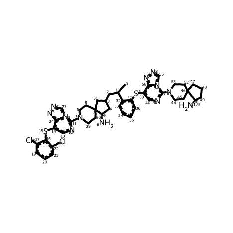 CC(CC1C[C@@H](N)C2(CCN(c3ncc(Sc4c(Cl)cccc4Cl)c4nncn34)CC2)C1)c1ccccc1Sc1cnc(N2CCC3(CCC[C@H]3N)CC2)n2cnnc12